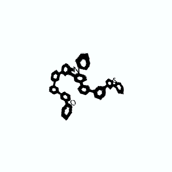 c1ccc(-n2c3ccc(-c4cccc(-c5cccc(-c6ccc7oc8ccccc8c7c6)c5)c4)cc3c3cc(-c4cccc(-c5cccc(-c6ccc7sc8ccccc8c7c6)c5)c4)ccc32)cc1